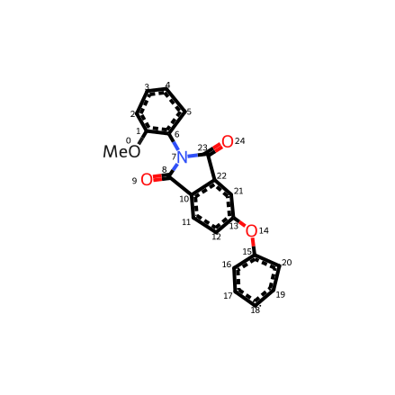 COc1ccccc1N1C(=O)c2ccc(Oc3cc[c]cc3)cc2C1=O